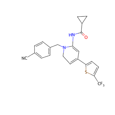 N#Cc1ccc(CN2CC=C(c3ccc(C(F)(F)F)s3)C=C2NC(=O)C2CC2)cc1